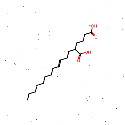 CCCCCCCCC=CCCC(CCCC(=O)O)C(=O)O